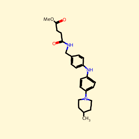 COC(=O)CCC(=O)NCc1ccc(Nc2ccc(N3CCC(C)CC3)cc2)cc1